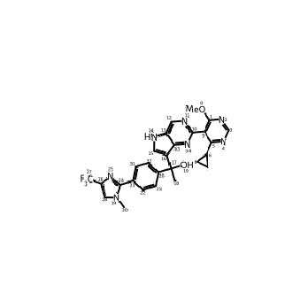 COc1ncnc(C2CC2)c1-c1ncc2[nH]cc(C(C)(O)c3ccc(-c4nc(C(F)(F)F)cn4C)cc3)c2n1